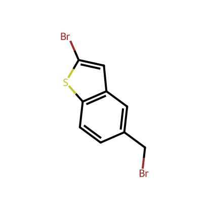 BrCc1ccc2sc(Br)cc2c1